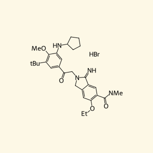 Br.CCOc1cc2c(cc1C(=O)NC)C(=N)N(CC(=O)c1cc(NC3CCCC3)c(OC)c(C(C)(C)C)c1)C2